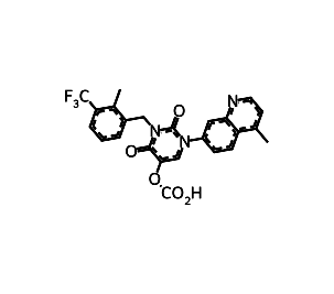 Cc1c(Cn2c(=O)c(OC(=O)O)cn(-c3ccc4c(C)ccnc4c3)c2=O)cccc1C(F)(F)F